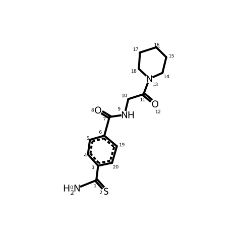 NC(=S)c1ccc(C(=O)NCC(=O)N2CC[CH]CC2)cc1